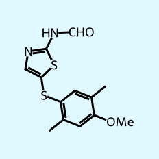 COc1cc(C)c(Sc2cnc(NC=O)s2)cc1C